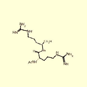 CC(=O)N[C@@H](CCCNC(=N)N)C(=O)N[C@@H](CCCNC(=N)N)C(=O)O